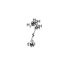 CCN(CC)C(=O)c1ccc(CCCCSCCCCCCNCC(O)c2ccc(O)c(NS(C)(=O)=O)c2)cc1